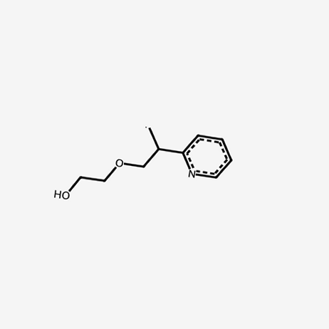 [CH2]C(COCCO)c1ccccn1